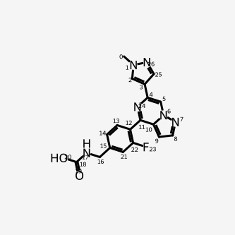 Cn1cc(-c2cn3nccc3c(-c3ccc(CNC(=O)O)cc3F)n2)cn1